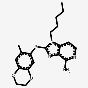 CCCCCn1c(Sc2cc3c(cc2I)OCCO3)nc2c(N)nccc21